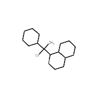 CCC(C)(C1CCCCC1)C1CCCC2CCCCC21